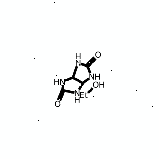 CCO.O=C1NC2NC(=O)NC2N1